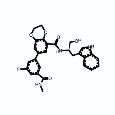 CNC(=O)c1cc(F)cc(-c2cc3c(c(C(=O)N[C@@H](CO)Cc4c[nH]c5ccccc45)c2)OCCO3)c1